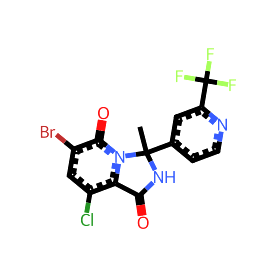 CC1(c2ccnc(C(F)(F)F)c2)NC(=O)c2c(Cl)cc(Br)c(=O)n21